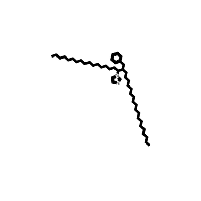 CCCCCCCCCCCCCCCCCCCC(Cc1ccccc1)C(CCCCCCCCCCCCCCCC)n1ccnc1